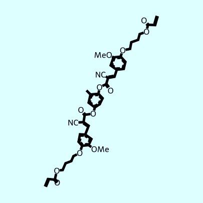 C=CC(=O)OCCCCOc1ccc(/C=C(\C#N)C(=O)Oc2ccc(OC(=O)/C(C#N)=C/c3ccc(OCCCCOC(=O)C=C)c(OC)c3)c(C)c2)cc1OC